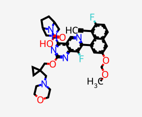 C#Cc1c(F)ccc2cc(OCOC)cc(-c3ncc4c(N5CC6CCC(C5)N6C(=O)O)nc(OCC5(CN6CCOCC6)CC5)nc4c3F)c12